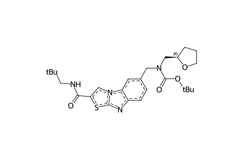 CC(C)(C)CNC(=O)c1cn2c(nc3ccc(CN(C[C@H]4CCCO4)C(=O)OC(C)(C)C)cc32)s1